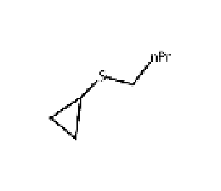 C[CH]CCSC1CC1